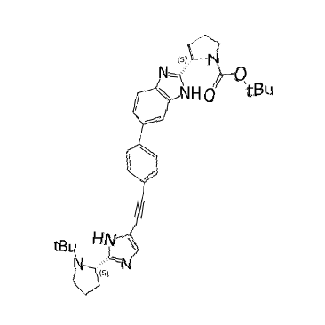 CC(C)(C)OC(=O)N1CCC[C@H]1c1nc2ccc(-c3ccc(C#Cc4cnc([C@@H]5CCCN5C(C)(C)C)[nH]4)cc3)cc2[nH]1